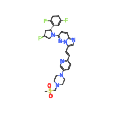 CS(=O)(=O)CN1CCN(c2ccc(/C=C/c3cnc4ccc(N5C[C@@H](F)C[C@@H]5c5cc(F)ccc5F)nn34)nc2)CC1